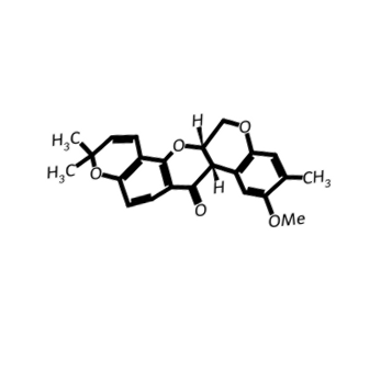 COc1cc2c(cc1C)OC[C@H]1Oc3c(ccc4c3C=CC(C)(C)O4)C(=O)[C@@H]21